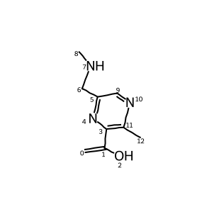 C=C(O)c1nc(CNC)cnc1C